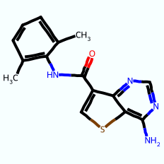 Cc1cccc(C)c1NC(=O)c1csc2c(N)ncnc12